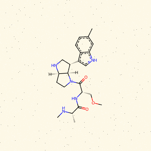 CN[C@@H](C)C(=O)N[C@@H](COC)C(=O)N1CC[C@H]2NC[C@H](c3c[nH]c4cc(C)ccc34)[C@H]21